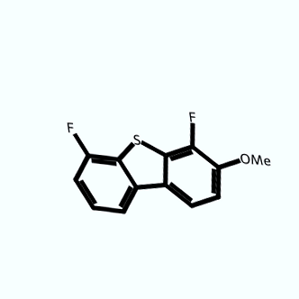 COc1ccc2c(sc3c(F)cccc32)c1F